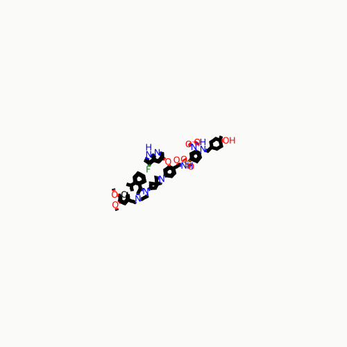 COc1ccc(CN2CCN(C3CC4(C3)CN(c3ccc(C(=O)NS(=O)(=O)c5ccc(NCC6CCC(C)(O)CC6)c([N+](=O)[O-])c5)c(Oc5cnc6[nH]cc(F)c6c5)c3)C4)C(c3ccccc3C(C)C)C2)cc1OC